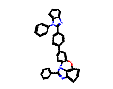 c1ccc(-c2nc3cccc4c3n2-c2ccc(-c3ccc(-c5nc6ccccc6n5-c5ccccc5)cc3)cc2O4)cc1